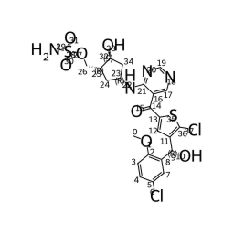 COc1ccc(Cl)cc1[C@@H](O)c1cc(C(=O)c2cncnc2N[C@@H]2C[C@H](COS(N)(=O)=O)[C@@H](O)C2)sc1Cl